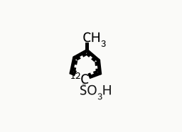 Cc1cc[12c](S(=O)(=O)O)cc1